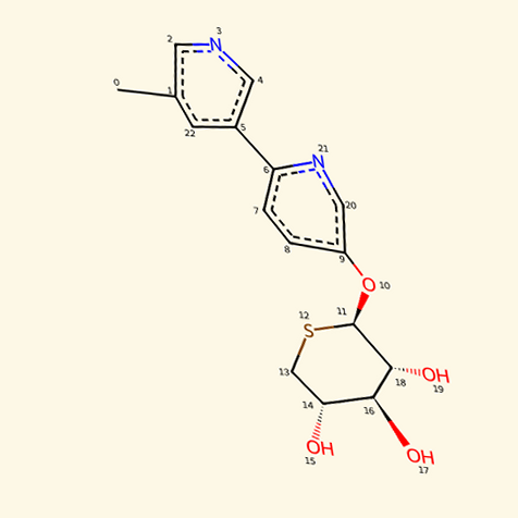 Cc1cncc(-c2ccc(O[C@@H]3SC[C@@H](O)[C@H](O)[C@H]3O)cn2)c1